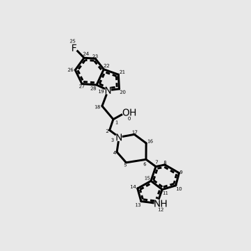 OC(CN1CCC(c2cccc3[nH]ccc23)CC1)Cn1ccc2cc(F)ccc21